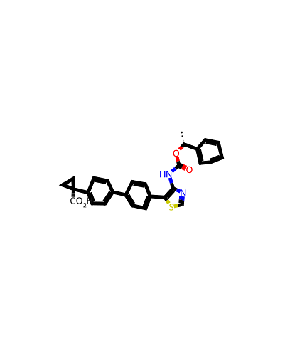 C[C@@H](OC(=O)Nc1ncsc1-c1ccc(-c2ccc(C3(C(=O)O)CC3)cc2)cc1)c1ccccc1